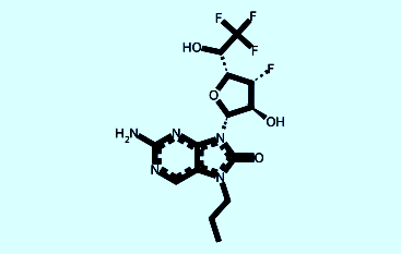 CCCn1c(=O)n([C@@H]2O[C@H](C(O)C(F)(F)F)[C@H](F)[C@H]2O)c2nc(N)ncc21